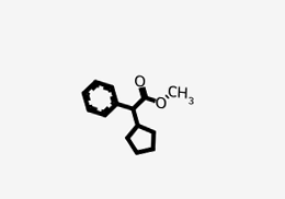 COC(=O)C(c1ccccc1)C1CCCC1